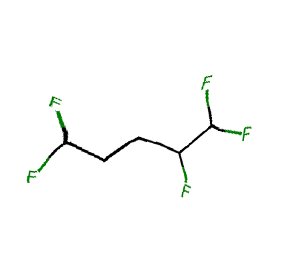 FC(F)CCC(F)C(F)F